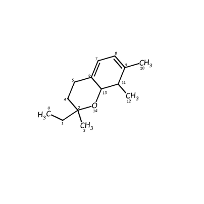 CCC1(C)CCC2=CC=C(C)C(C)C2O1